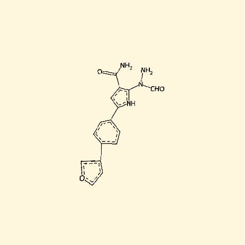 NC(=O)c1cc(-c2ccc(-c3ccoc3)cc2)[nH]c1N(N)C=O